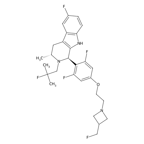 C[C@@H]1Cc2c([nH]c3ccc(F)cc23)[C@@H](c2c(F)cc(OCCN3CC(CF)C3)cc2F)N1CC(C)(C)F